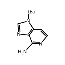 CC(C)(C)n1cnc2c(N)nccc21